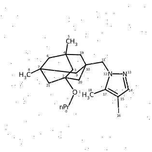 CCCOC12CC3(C)CC(C)(CC(Cn4ncc(I)c4C)(C3)C1)C2